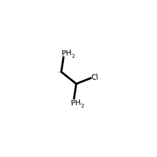 P[CH]C(P)Cl